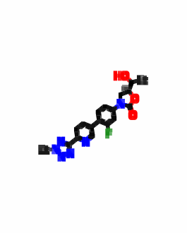 CCC(O)[C@@H]1CN(c2ccc(-c3ccc(-c4nnn(CC)n4)nc3)c(F)c2)C(=O)O1